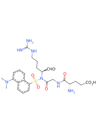 CN(C)c1cccc2c(S(=O)(=O)N(C(=O)CNC(=O)[C@@H](N)CCC(=O)O)[C@H]([C]=O)CCCNC(=N)N)cccc12